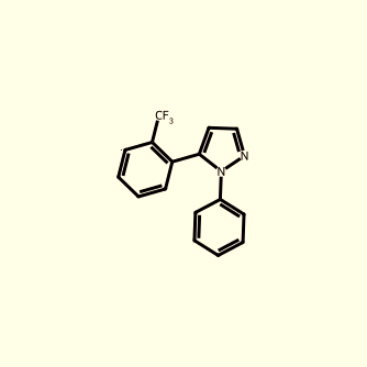 FC(F)(F)c1[c]cccc1-c1ccnn1-c1ccccc1